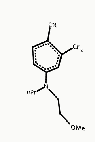 CCCN(CCOC)c1ccc(C#N)c(C(F)(F)F)c1